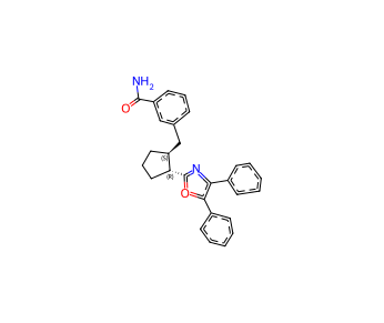 NC(=O)c1cccc(C[C@@H]2CCC[C@H]2c2nc(-c3ccccc3)c(-c3ccccc3)o2)c1